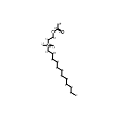 CCCCCCCCCCCC[N+](C)(C)CCOC(C)=O